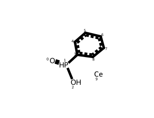 O=[PH](O)c1ccccc1.[Ce]